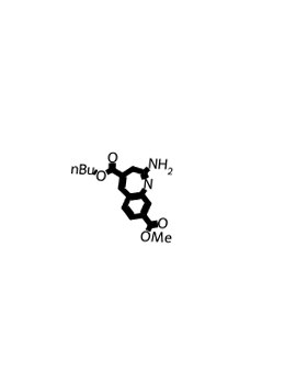 CCCCOC(=O)C1=Cc2ccc(C(=O)OC)cc2N=C(N)C1